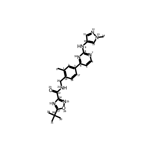 Cc1cc(-c2ccnc(Nc3cnn(C)c3)n2)ccc1CNC(=O)c1noc(C(C)(C)C)n1